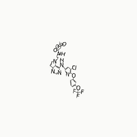 CS(=O)(=O)CC(=O)NCCn1ccc2ncnc(Nc3cnc(Oc4cccc(OC(F)(F)F)c4)c(Cl)c3)c21